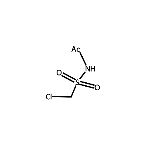 CC(=O)NS(=O)(=O)CCl